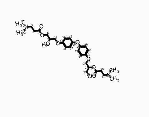 CN(C)CCC(=O)OCC(O)COc1ccc(Oc2ccc(OCC(CCl)OC(=O)CCN(C)C)cc2)cc1